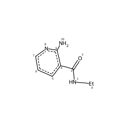 CCNC(=O)c1cccnc1N